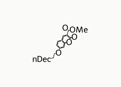 CCCCCCCCCCCCOc1ccc2cc(C(=O)OC)c(=O)oc2c1